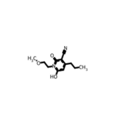 CCCc1cc(O)n(CCOC)c(=O)c1C#N